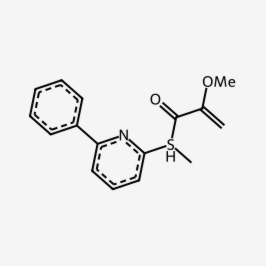 C=C(OC)C(=O)[SH](C)c1cccc(-c2ccccc2)n1